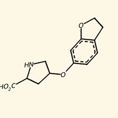 O=C(O)C1CC(Oc2ccc3c(c2)OCC3)CN1